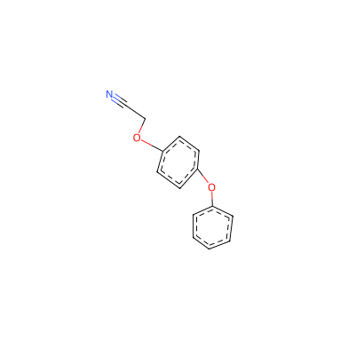 N#CCOc1ccc(Oc2ccccc2)cc1